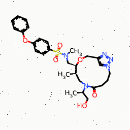 C[C@@H]1CN([C@H](C)CO)C(=O)CCCn2cc(nn2)CO[C@@H]1CN(C)S(=O)(=O)c1ccc(Oc2ccccc2)cc1